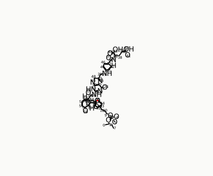 CCOP(=O)(OCC)OCCCCOC(=O)C1C(C(=O)Nc2nc(=O)c3nc(CNc4ccc(C(=O)N[C@H](CCC(=O)O)C(=O)O)cc4)cnc3[nH]2)[C@H]2C=CC(=O)[C@@H]1N2Cc1ccccc1